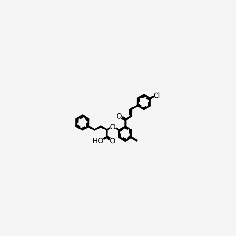 Cc1ccc(OC(CCc2ccccc2)C(=O)O)c(C(=O)/C=C/c2ccc(Cl)cc2)c1